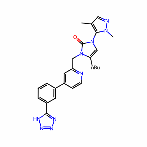 CCCCc1cn(-c2c(C)cnn2C)c(=O)n1Cc1cc(-c2cccc(-c3nnn[nH]3)c2)ccn1